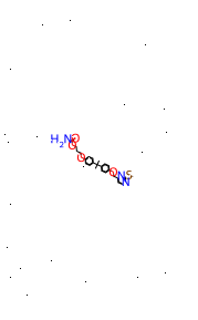 CSc1nccc(COc2ccc(C(C)(C)c3ccc(OCCCOC(N)=O)cc3)cc2)n1